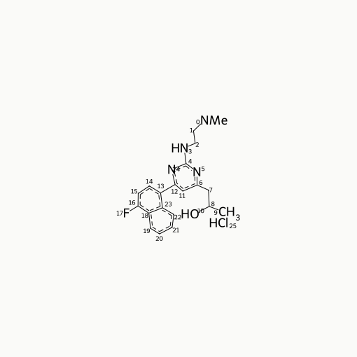 CNCCNc1nc(CC(C)O)cc(-c2ccc(F)c3ccccc23)n1.Cl